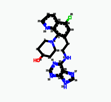 OC1CCN(c2c(CCNc3ncnc4[nH]cnc34)cc(Cl)c3cccnc23)CC1